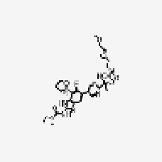 CCNC(=O)Nc1nc2cc(-c3cnc(C(C)(C)OP(=O)(O)OCCOCCOC)nc3)c(F)c([C@H]3CCCO3)c2[nH]1